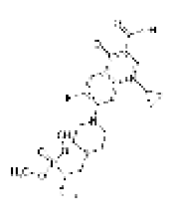 COP(=O)(OC)C(C)CN1CCN(c2cc3c(cc2F)c(=O)c(C(=O)O)cn3C2CC2)CC1